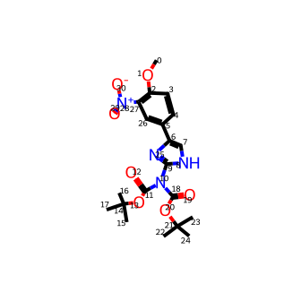 COc1ccc(-c2c[nH]c(N(C(=O)OC(C)(C)C)C(=O)OC(C)(C)C)n2)cc1[N+](=O)[O-]